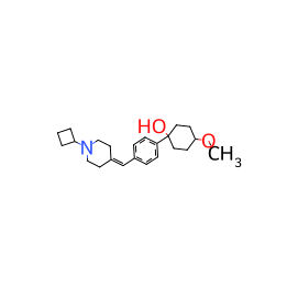 COC1CCC(O)(c2ccc(C=C3CCN(C4CCC4)CC3)cc2)CC1